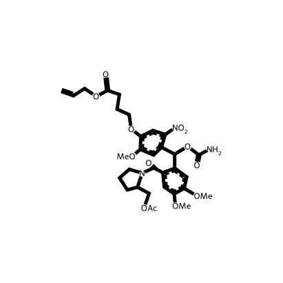 C=CCOC(=O)CCCOc1cc([N+](=O)[O-])c(C(OC(N)=O)c2cc(OC)c(OC)cc2C(=O)N2CCCC2COC(C)=O)cc1OC